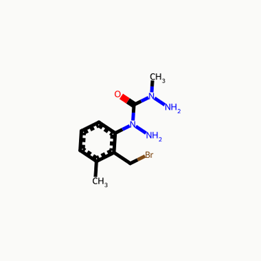 Cc1cccc(N(N)C(=O)N(C)N)c1CBr